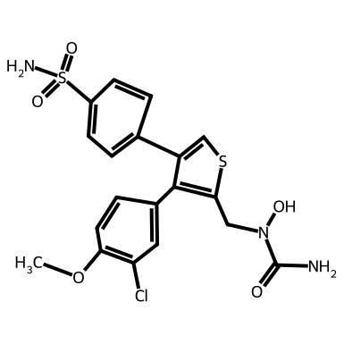 COc1ccc(-c2c(-c3ccc(S(N)(=O)=O)cc3)csc2CN(O)C(N)=O)cc1Cl